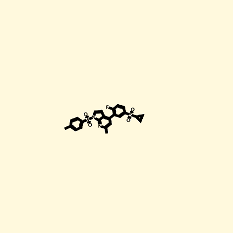 Cc1ccc(S(=O)(=O)n2ccc3c(-c4cc(S(=O)(=O)C5CC5)ccc4F)cc(C)nc32)cc1